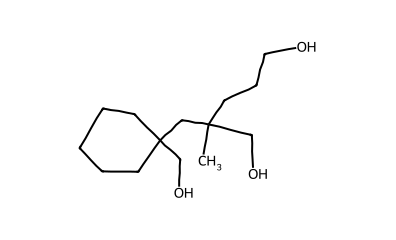 CC(CO)(CCCO)CC1(CO)CCCCC1